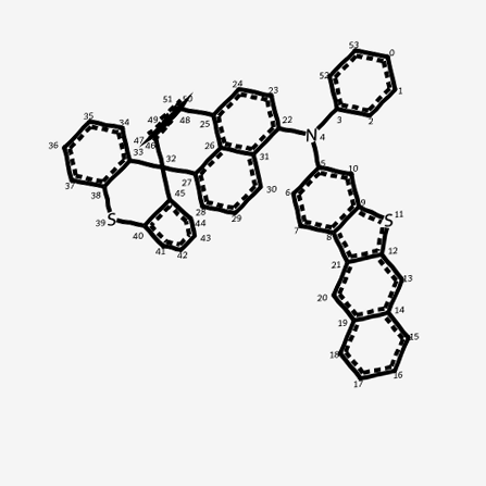 c1ccc(N(c2ccc3c(c2)sc2cc4ccccc4cc23)c2ccc3c4c(cccc24)C2(c4ccccc4Sc4ccccc42)c2ccccc2-3)cc1